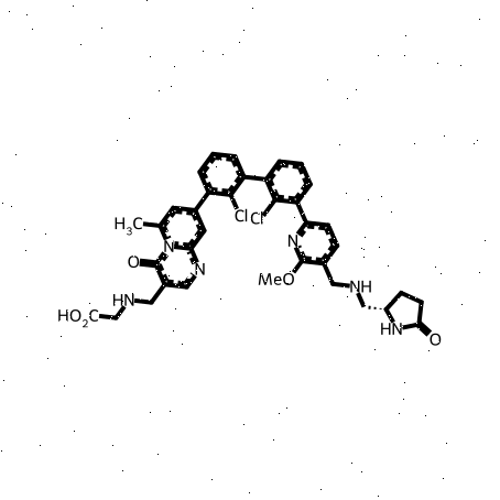 COc1nc(-c2cccc(-c3cccc(-c4cc(C)n5c(=O)c(CNCC(=O)O)cnc5c4)c3Cl)c2Cl)ccc1CNC[C@@H]1CCC(=O)N1